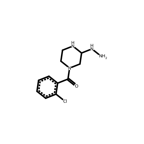 NNC1CN(C(=O)c2ccccc2Cl)CCN1